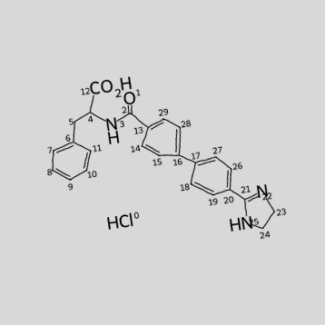 Cl.O=C(NC(Cc1ccccc1)C(=O)O)c1ccc(-c2ccc(C3=NCCN3)cc2)cc1